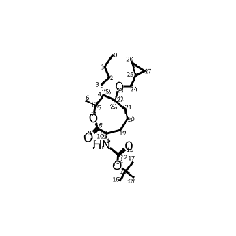 CCCC[C@H]1[C@H](C)OC(=O)[C@@H](NC(=O)OC(C)(C)C)CCC[C@@H]1OCC1CC1